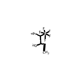 C=CC(O)C(CCC)S(F)(F)(F)(F)F